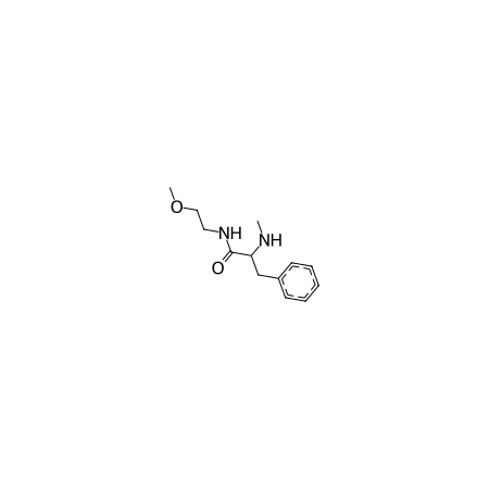 CNC(Cc1ccccc1)C(=O)NCCOC